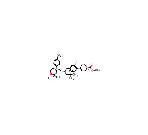 COc1ccc([C@]2(CCN(Cc3ccc(C4=CC[C@@H](C(=O)OC(C)(C)C)CC4)c(F)c3)CC(C)(C)C(F)(F)F)CCOC(C)(C)C2)cc1